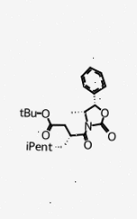 CCC[C@@H](C)C[C@H](CC(=O)OC(C)(C)C)C(=O)N1C(=O)O[C@@H](c2ccccc2)[C@H]1C